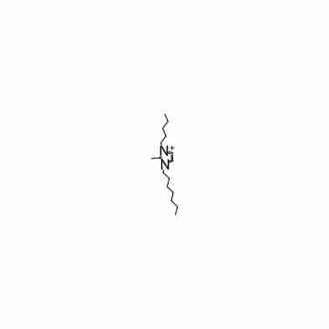 CCCCCCCn1cc[n+](CCCCC)c1C